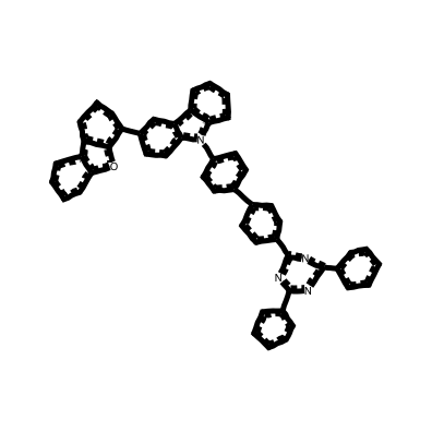 c1ccc(-c2nc(-c3ccccc3)nc(-c3ccc(-c4ccc(-n5c6ccccc6c6cc(-c7cccc8c7oc7ccccc78)ccc65)cc4)cc3)n2)cc1